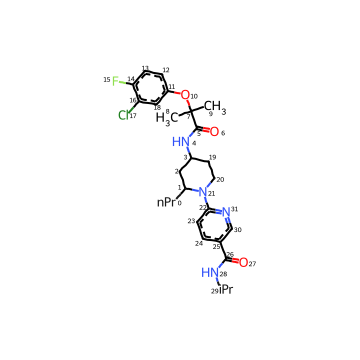 CCCC1CC(NC(=O)C(C)(C)Oc2ccc(F)c(Cl)c2)CCN1c1ccc(C(=O)NC(C)C)cn1